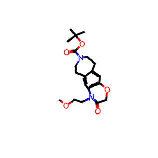 COCCN1C(=O)COc2cc3c(cc21)CCN(C(=O)OC(C)(C)C)CC3